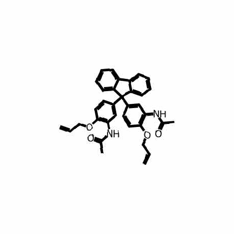 C=CCOc1ccc(C2(c3ccc(OCC=C)c(NC(C)=O)c3)c3ccccc3-c3ccccc32)cc1NC(C)=O